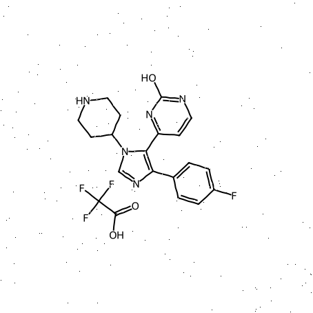 O=C(O)C(F)(F)F.Oc1nccc(-c2c(-c3ccc(F)cc3)ncn2C2CCNCC2)n1